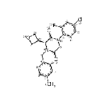 Cc1ccc(CN2C(=O)CN(c3ncc(Cl)cc3F)C(=O)[C@@H]2C2COC2)cc1